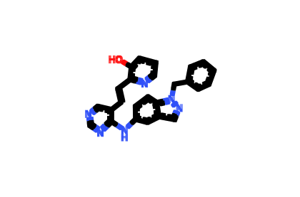 Oc1cccnc1C=Cc1cncnc1Nc1ccc2c(cnn2Cc2ccccc2)c1